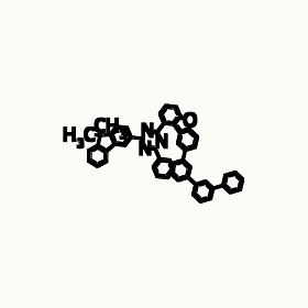 CC1(C)c2ccccc2-c2cc(-c3nc(-c4ccccc4)nc(-c4cccc5oc6ccc(-c7cccc(-c8cccc(-c9ccccc9)c8)c7)cc6c45)n3)ccc21